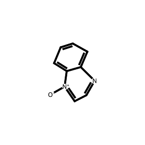 [O-][n+]1ccnc2ccccc21